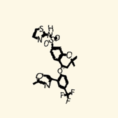 Cc1nc(-c2cc(C(F)(F)F)ccc2O[C@@H]2CC(C)(C)Oc3cc(S(=O)(=O)Nc4nccs4)ccc32)co1